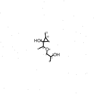 CC(O)COC(C)C1(O)CC1C